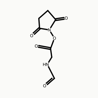 O=CNCC(=O)ON1C(=O)CCC1=O